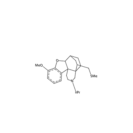 CCCN1CCC23c4cccc(OC)c4OC2C2CCC3(C1)C(CSC)C2